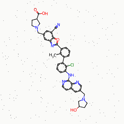 Cc1c(-c2nc3cc(CN4CCC(C(=O)O)C4)cc(C#N)c3o2)cccc1-c1cccc(Nc2nccc3cc(CN4CCC(O)C4)cnc23)c1Cl